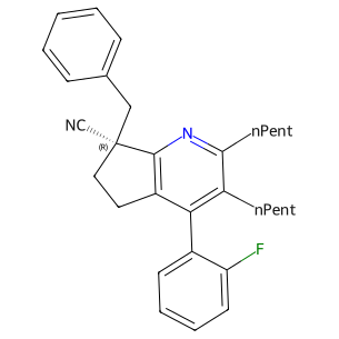 CCCCCc1nc2c(c(-c3ccccc3F)c1CCCCC)CC[C@@]2(C#N)Cc1ccccc1